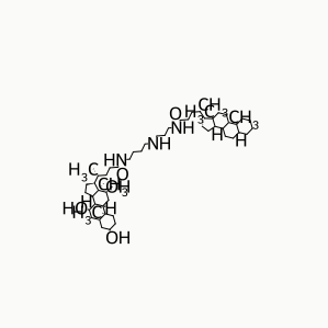 C[C@H](CCC(=O)NCCCNCCCCNC(=O)CC[C@@H](C)[C@@H]1CC[C@H]2C3[C@H](O)CC4C[C@H](O)CC[C@]4(C)[C@H]3C[C@H](O)[C@@]21C)[C@H]1CCC2[C@@H]3CC[C@@H]4CCCC[C@]4(C)C3CC[C@@]21C